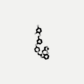 CCn1cncc1Cn1c(CN2CCC(Oc3cccc(COc4ccc(Cl)cc4F)c3)CC2)nc2ccccc21